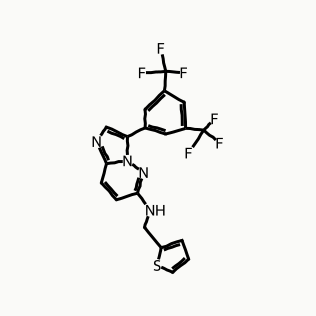 FC(F)(F)c1cc(-c2cnc3ccc(NCc4cccs4)nn23)cc(C(F)(F)F)c1